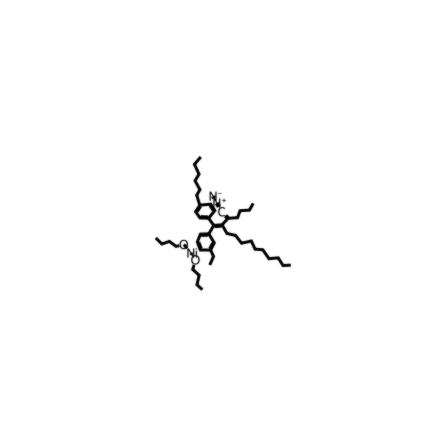 CCCCCCCCCCC(C(=C=[N+]=[N-])CCCC)=C(c1ccc(CCCCCC)cc1)c1cccc(CC)c1.CCCC[O][Ni][O]CCCC